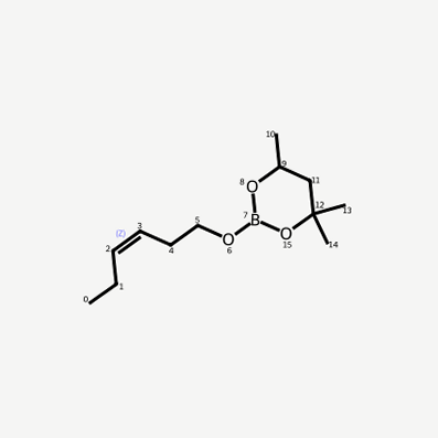 CC/C=C\CCOB1OC(C)CC(C)(C)O1